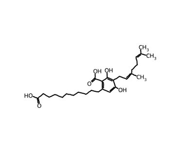 CC(C)=CCCC(C)=CCc1c(O)cc(CCCCCCCCCCC(=O)O)c(C(=O)O)c1O